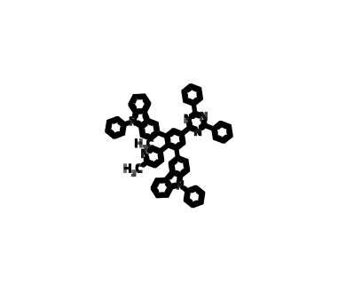 Cc1ccc(-c2c(-c3ccc4c(c3)c3ccccc3n4-c3ccccc3)cc(-c3nc(-c4ccccc4)nc(-c4ccccc4)n3)cc2-c2ccc3c(c2)c2ccccc2n3-c2ccccc2)c(C)n1